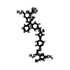 CCCC(CC(C#N)(c1ccccc1)C1CCN(CC2CN(c3ccc(OSN(C)c4nn(C)cc4Br)cc3)C2)CC1)OC(=O)NC.S